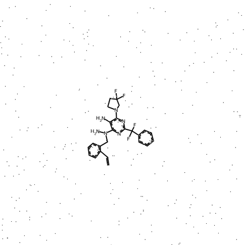 C=Cc1ccccc1CN(N)c1nc(C(F)(F)c2ccccc2)nc(N2CCC(F)(F)C2)c1N